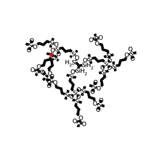 C[Si](C)(CCC[Si](O[Si](C)(C)CCCOS(C)(=O)=O)(O[Si](C)(C)CCCOS(C)(=O)=O)O[Si](C)(C)CCCOS(C)(=O)=O)O[SiH2]C([SiH2]O[Si](C)(C)CCC[Si](O[Si](C)(C)CCCOS(C)(=O)=O)(O[Si](C)(C)CCCOS(C)(=O)=O)O[Si](C)(C)CCCOS(C)(=O)=O)[SiH2]O[Si](C)(C)CCC[Si](O[Si](C)(C)CCCOS(C)(=O)=O)(O[Si](C)(C)CCCOS(C)(=O)=O)O[Si](C)(C)CCCOS(C)(=O)=O